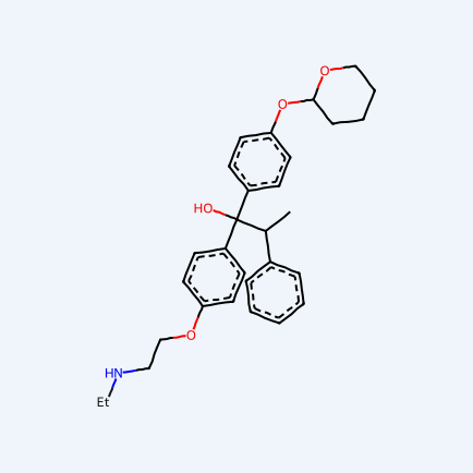 CCNCCOc1ccc(C(O)(c2ccc(OC3CCCCO3)cc2)C(C)c2ccccc2)cc1